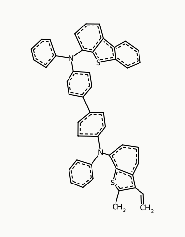 C=Cc1c(C)sc2c(N(c3ccccc3)c3ccc(-c4ccc(N(c5ccccc5)c5cccc6c5sc5ccccc56)cc4)cc3)cccc12